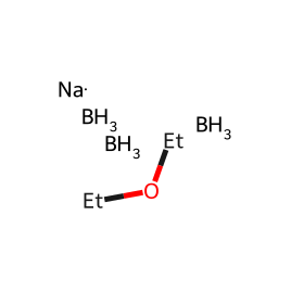 B.B.B.CCOCC.[Na]